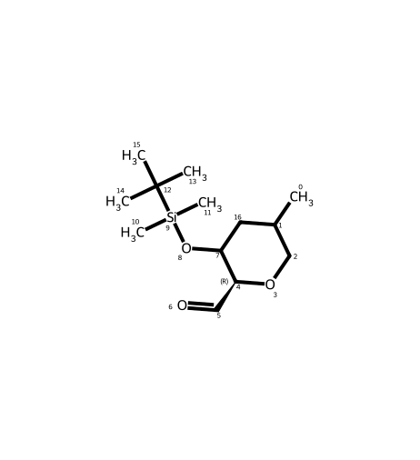 CC1CO[C@@H](C=O)C(O[Si](C)(C)C(C)(C)C)C1